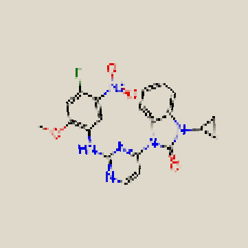 COc1cc(F)c([N+](=O)[O-])cc1Nc1nccc(-n2c(=O)n(C3CC3)c3ccccc32)n1